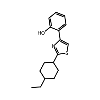 CCC1CCC(c2nc(-c3ccccc3O)cs2)CC1